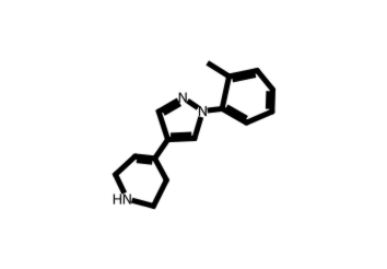 Cc1ccccc1-n1cc(C2=CCNCC2)cn1